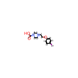 O=C(O)N1CCN(CCOc2ccc(I)cc2)CC1